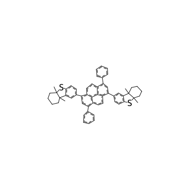 CC12CCCCC1(C)c1cc(-c3cc(-c4ccccc4)c4ccc5c(-c6ccc7c(c6)C6(C)CCCCC6(C)S7)cc(-c6ccccc6)c6ccc3c4c65)ccc1S2